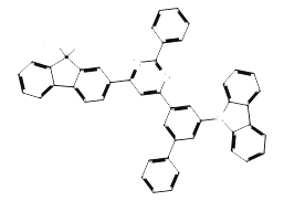 CC1(C)c2ccccc2-c2ccc(-c3cc(-c4cc(-c5ccccc5)cc(-n5c6ccccc6c6ccccc65)c4)nc(-c4ccccc4)n3)cc21